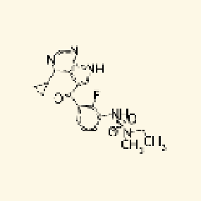 CCN(C)S(=O)(=O)Nc1cccc(C(=O)c2c[nH]c3ncnc(C4CC4)c23)c1F